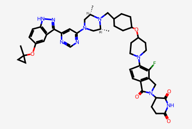 C[C@@H]1CN(c2cc(-c3n[nH]c4ccc(OC5(C)CC5)cc34)ncn2)C[C@H](C)N1CC1CCC(OC2CCN(c3ccc4c(c3F)CN(C3CCC(=O)NC3=O)C4=O)CC2)CC1